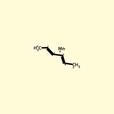 CC=CC=CC.[Mn]